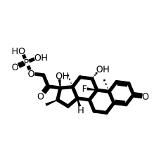 C[C@@H]1C[C@H]2C3CCC4=CC(=O)C=C[C@]4(C)[C@@]3(F)[C@@H](O)C[C@]2(C)[C@@]1(O)C(=O)COP(=O)(O)O